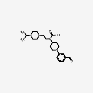 CC(C)N1CCN(CCN(C(=O)O)C2CCN(c3cccc(C=O)c3)CC2)CC1